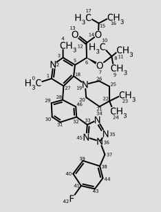 Cc1nc(C)c([C@H](OC(C)(C)C)C(=O)OC(C)C)c(N2CCC(C)(C)CC2)c1-c1cccc(-c2nnn(Cc3ccc(F)cc3)n2)c1